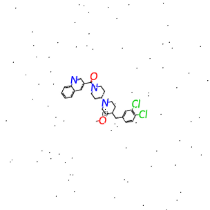 CO[C@@H]1CN(C2CCN(C(=O)c3cnc4ccccc4c3)CC2)CCC1Cc1ccc(Cl)c(Cl)c1